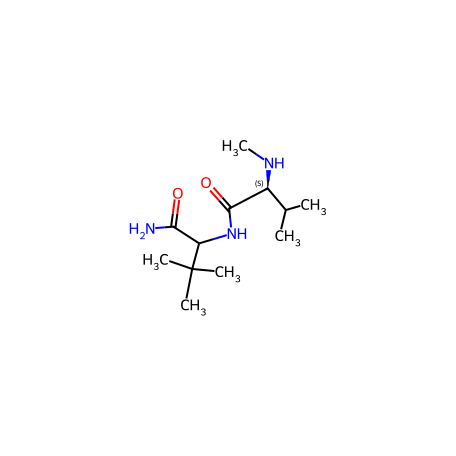 CN[C@H](C(=O)NC(C(N)=O)C(C)(C)C)C(C)C